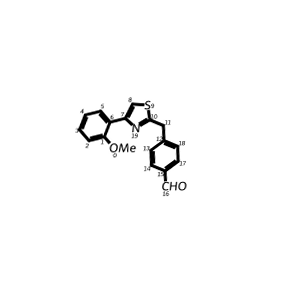 COc1ccccc1-c1csc(Cc2ccc(C=O)cc2)n1